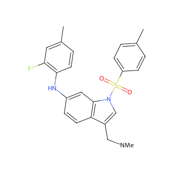 CNCc1cn(S(=O)(=O)c2ccc(C)cc2)c2cc(Nc3ccc(C)cc3F)ccc12